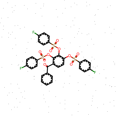 O=C(c1ccccc1)c1ccc(OS(=O)(=O)c2ccc(F)cc2)c(OS(=O)(=O)c2ccc(F)cc2)c1OS(=O)(=O)c1ccc(F)cc1